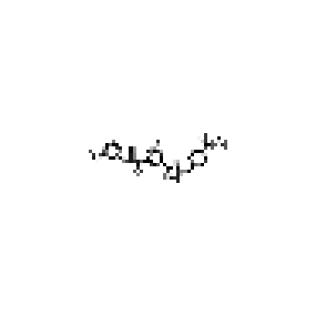 CNC(=O)C1CCC(Cn2nnc(-c3cc(C)nc(C(=O)NCc4cccc(OC)c4)c3)n2)CC1